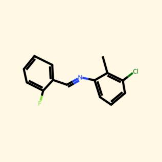 Cc1c(Cl)cccc1N=Cc1ccccc1F